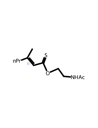 CCC/C(C)=C/C(=S)OCCNC(C)=O